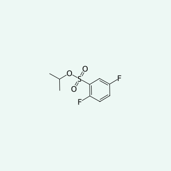 CC(C)OS(=O)(=O)c1cc(F)ccc1F